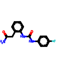 NC(=O)Cc1ccccc1NC(=O)Nc1ccc(F)cc1